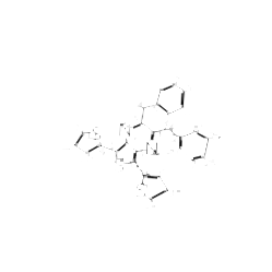 c1ccc(Cc2nc3c(-c4cccs4)sc(-c4cccs4)c3nc2Cc2ccccc2)cc1